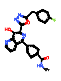 CC(C)NC(=O)c1ccc(-c2nc(-c3nnc(Cc4ccc(F)cc4)o3)c(O)c3ncccc23)cc1